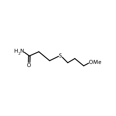 COCCCSCCC(N)=O